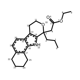 CCCC1(CC(=O)OCC)OCCc2c1[nH]c1c3c(ccc21)CCCC3